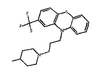 CC1CCN(CCCN2c3ccccc3Sc3ccc(C(F)(F)F)cc32)CC1